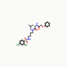 CC(C)C[C@H](NC(=O)COc1ccccc1)C(=O)NCCCCNS(=O)(=O)c1ccc(Cl)cc1Cl